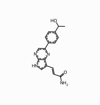 CC(O)c1ccc(-c2cnc3[nH]cc(C=CC(N)=O)c3n2)cc1